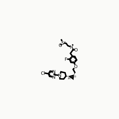 CN(CC[S+](C)[O-])C(=O)Cc1ccc(OCC[C@@H]2C[C@@H]2C2CCN(c3ncc(Cl)cn3)CC2)cc1F